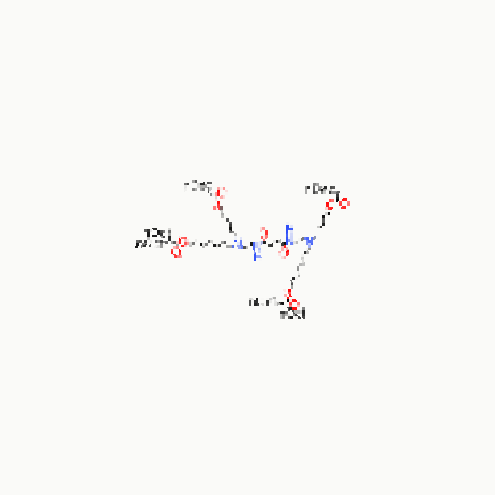 CCCCCCCCCCCC(=O)OCCCCCN(CCCCCCCOC(=O)C(CCCCCCCC)CCCCCCCC)CCNC(=O)CCC(=O)NCCN(CCCCCCCOC(=O)C(CCCCCCCC)CCCCCCCC)CCCCCOC(=O)CCCCCCCCCCC